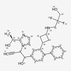 C#CC(C(O)c1ccc(-c2ccccc2)c(C2CC(NCC(F)(F)CO)C2)c1)n1ccnc1[C@H](C)O